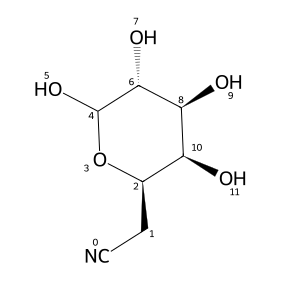 N#CC[C@H]1OC(O)[C@H](O)[C@@H](O)[C@H]1O